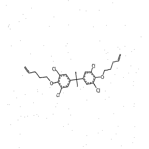 C=CCCCOc1c(Cl)cc(C(C)(C)c2cc(Cl)c(OCCCC=C)c(Cl)c2)cc1Cl